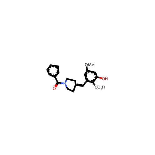 COc1cc(O)c(C(=O)O)c(C=C2CCN(C(=O)c3ccccc3)CC2)c1